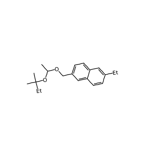 CCc1ccc2cc(COC(C)OC(C)(C)CC)ccc2c1